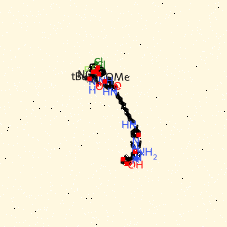 COc1cc(C(=O)NCCCCCCCCCCCNCc2ccc(N3CCN(c4cc(-c5ccccc5O)nnc4N)CC3)cc2)ccc1NC(=O)[C@@H]1N[C@@H](CC(C)(C)C)[C@](C#N)(c2ccc(Cl)cc2F)[C@H]1c1cccc(Cl)c1F